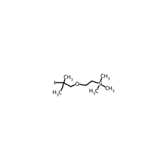 CC(C)(I)COCC[Si](C)(C)C